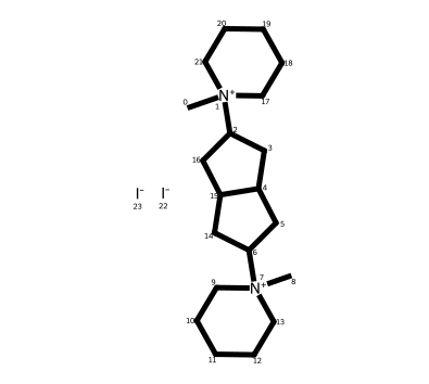 C[N+]1(C2CC3CC([N+]4(C)CCCCC4)CC3C2)CCCCC1.[I-].[I-]